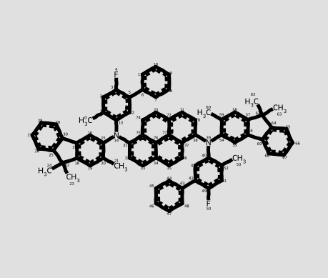 Cc1cc(F)c(-c2ccccc2)cc1N(c1cc2c(cc1C)C(C)(C)c1ccccc1-2)c1ccc2ccc3c(N(c4cc(-c5ccccc5)c(F)cc4C)c4cc5c(cc4C)C(C)(C)c4ccccc4-5)ccc4ccc1c2c43